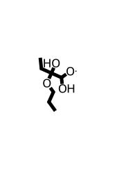 CCCOC(O)(CC)C([O])O